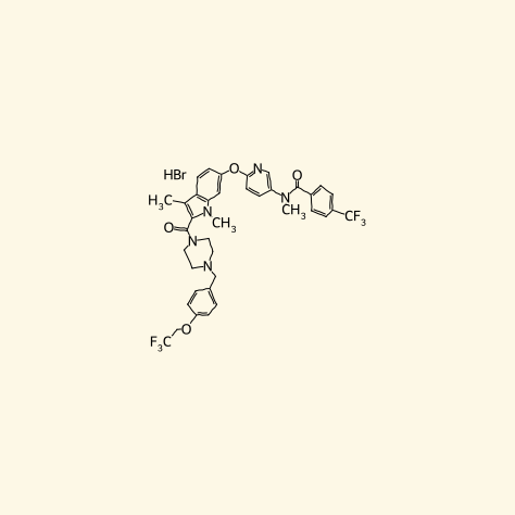 Br.Cc1c(C(=O)N2CCN(Cc3ccc(OCC(F)(F)F)cc3)CC2)n(C)c2cc(Oc3ccc(N(C)C(=O)c4ccc(C(F)(F)F)cc4)cn3)ccc12